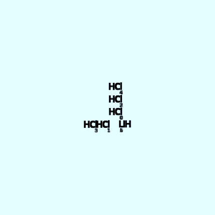 Cl.Cl.Cl.Cl.Cl.[LiH]